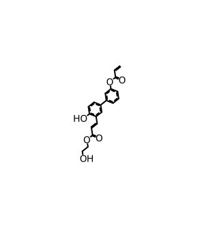 C=CC(=O)Oc1cccc(-c2ccc(O)c(/C=C/C(=O)OCCO)c2)c1